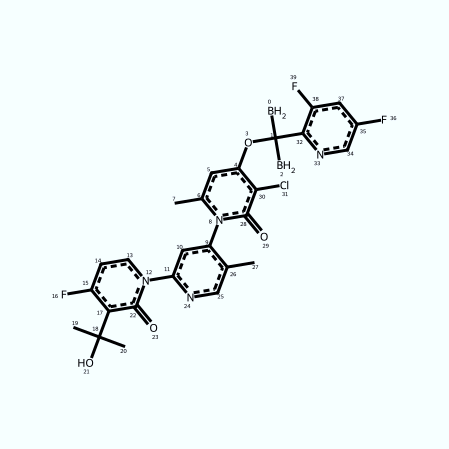 BC(B)(Oc1cc(C)n(-c2cc(-n3ccc(F)c(C(C)(C)O)c3=O)ncc2C)c(=O)c1Cl)c1ncc(F)cc1F